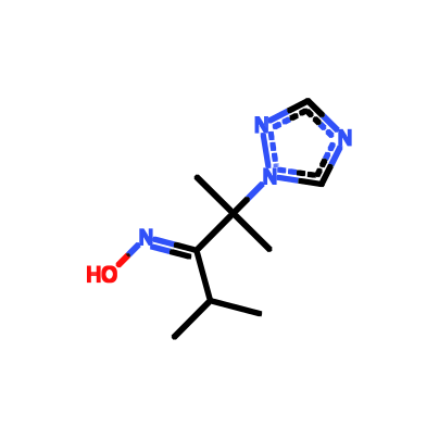 CC(C)C(=NO)C(C)(C)n1cncn1